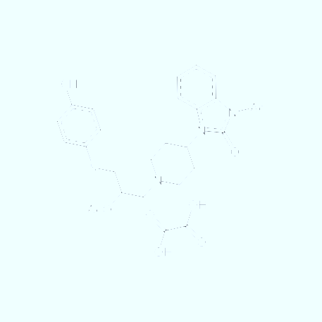 CC(=O)OC(CSc1ccc(C)cc1)CN1CCC(n2c(=O)n(C(C)=O)c3ccccc32)CC1.O=C(O)C(=O)O